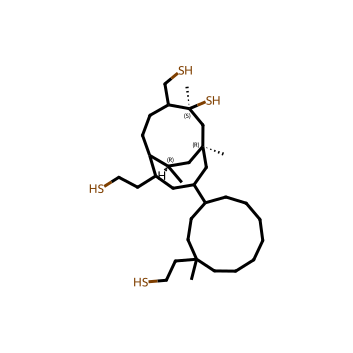 C[C@@H]1C[C@]2(C)CC(C3CCCCCCCC(C)(CCS)CC3)CC(CCS)C1CCC(CS)[C@@](C)(S)C2